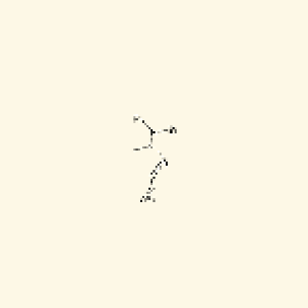 CC(C)N(C(C)C)C(C)N=C=N